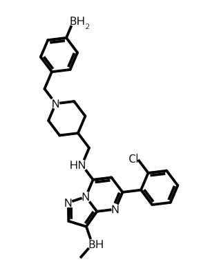 Bc1ccc(CN2CCC(CNc3cc(-c4ccccc4Cl)nc4c(BC)cnn34)CC2)cc1